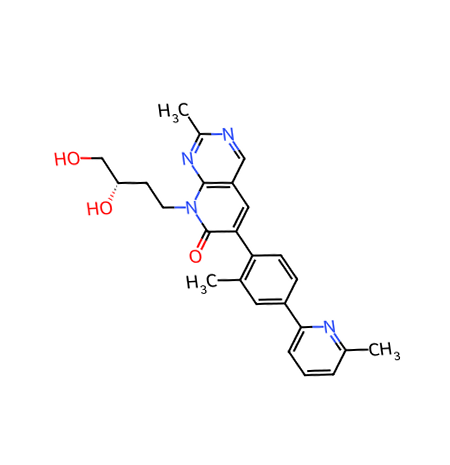 Cc1cccc(-c2ccc(-c3cc4cnc(C)nc4n(CC[C@H](O)CO)c3=O)c(C)c2)n1